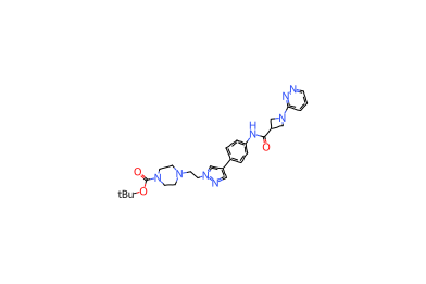 CC(C)(C)OC(=O)N1CCN(CCn2cc(-c3ccc(NC(=O)C4CN(c5cccnn5)C4)cc3)cn2)CC1